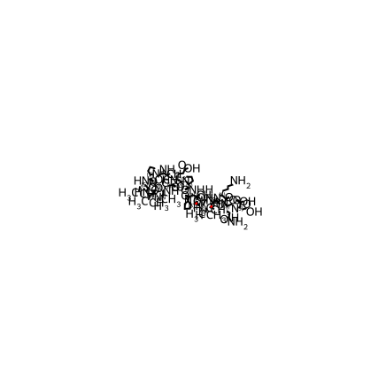 CC(C)C[C@H](NC(=O)[C@@H]1CCCN1C(=O)[C@@H](N)C(C)C)C(=O)N[C@H](C(=O)N[C@@H](C)C(=O)N[C@@H](C)C(=O)N[C@@H](CCC(=O)O)C(=O)N1CCC[C@H]1C(=O)N[C@H](C(=O)N1CCC[C@H]1C(=O)N[C@@H](CC(C)C)C(=O)N[C@H](C(=O)N[C@@H](CCCCN)C(=O)N[C@@H](CCC(N)=O)C(=O)N[C@@H](CC(=O)O)C(=O)O)C(C)C)C(C)C)C(C)C